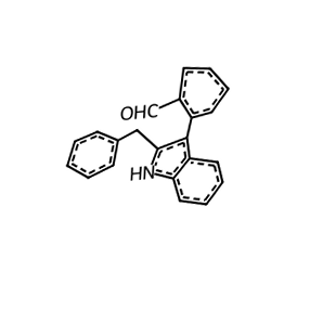 O=Cc1ccccc1-c1c(Cc2ccccc2)[nH]c2ccccc12